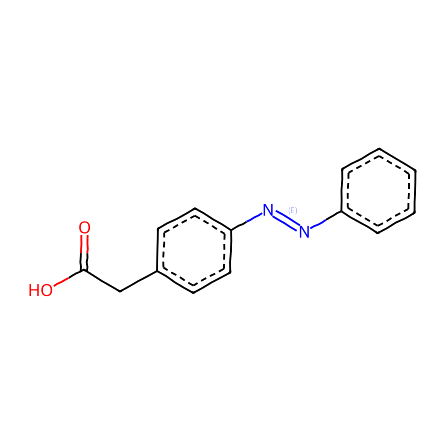 O=C(O)Cc1ccc(/N=N/c2ccccc2)cc1